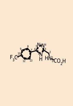 O=C(O)NCc1nnc(-c2ccc(C(F)(F)F)cc2)[nH]1